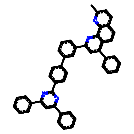 Cc1ccc2ccc3c(-c4ccccc4)cc(-c4cccc(-c5ccc(-c6nc(-c7ccccc7)cc(-c7ccccc7)n6)cc5)c4)nc3c2n1